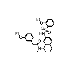 CCOc1cccc(CC(=O)N(C)C2CCCc3ccc(NS(=O)(=O)c4ccccc4OCC)cc32)c1